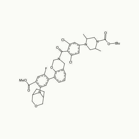 COC(=O)c1cc(F)c(-c2cccc3c2OCN(C(=O)c2c(Cl)cc(N4CC(C)N(C(=O)OC(C)(C)C)CC4C)cc2Cl)C3)cc1N1C2CCC1COC2